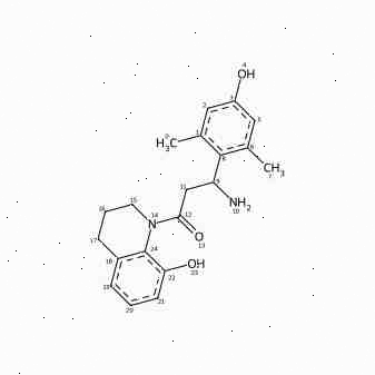 Cc1cc(O)cc(C)c1C(N)CC(=O)N1CCCc2cccc(O)c21